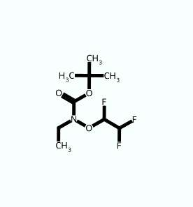 CCN(OC(F)C(F)F)C(=O)OC(C)(C)C